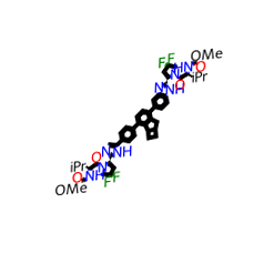 COC(=O)N[C@H](C(=O)N1CC(F)(F)C[C@H]1c1ncc(-c2ccc(-c3ccc(-c4ccc5[nH]c([C@@H]6CC(F)(F)CN6C(=O)[C@@H](NC(=O)OC)C(C)C)nc5c4)c4c3C3CCC3C4)cc2)[nH]1)C(C)C